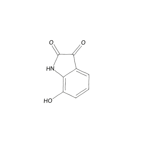 O=C1Nc2c(O)cccc2C1=O